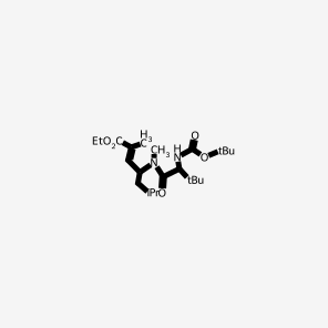 CCOC(=O)C(C)=CC(CC(C)C)N(C)C(=O)C(NC(=O)OC(C)(C)C)C(C)(C)C